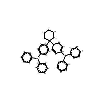 C1=CC(C2(c3ccc(N(c4ccccc4)c4ccccc4)cc3)CCCCC2)CC=C1N(c1ccccc1)c1ccccc1